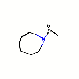 CBN1CCCCC1